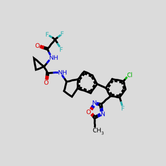 Cc1nc(-c2c(F)cc(Cl)cc2-c2ccc3c(c2)CCC3NC(=O)C2(NC(=O)C(F)(F)F)CC2)no1